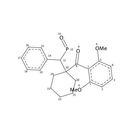 COc1cccc(OC)c1C(=O)C1(C(P=O)c2ccccc2)CCCCC1